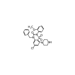 COc1ccccc1N1C(=O)N(Cc2ccccc2)c2cc(Cl)cc(N3CCNCC3)c2S1(=O)=O